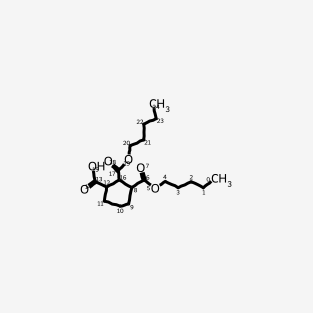 CCCCCOC(=O)C1CCCC(C(=O)O)C1C(=O)OCCCCC